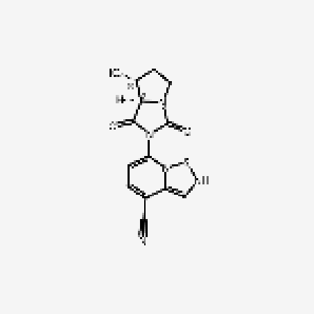 N#CC1=CC=C(N2C(=O)[C@H]3[C@H](O)CCN3C2=O)N2SNC=C12